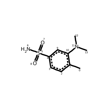 Cc1ccc(S(N)(=O)=O)cc1N(C)C